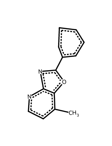 Cc1ccnc2nc(-c3ccccc3)oc12